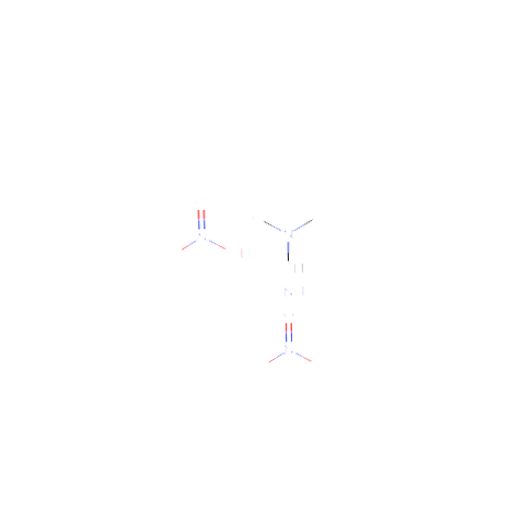 CN(C)C.N.O=[N+]([O-])O.O=[N+]([O-])O